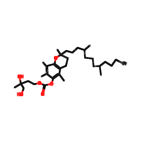 Cc1c(C)c2c(c(C)c1OC(=O)OCCC(C)(O)CO)CCC(C)(CCCC(C)CCCC(C)CCCC(C)C)O2